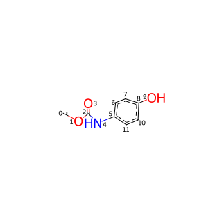 [CH2]OC(=O)Nc1ccc(O)cc1